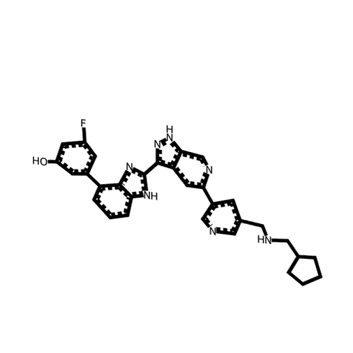 Oc1cc(F)cc(-c2cccc3[nH]c(-c4n[nH]c5cnc(-c6cncc(CNCC7CCCC7)c6)cc45)nc23)c1